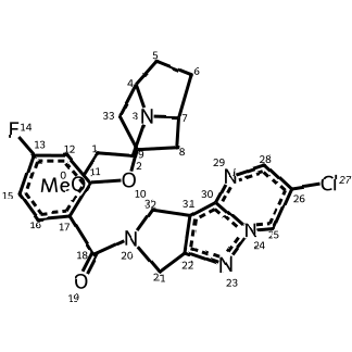 COCCN1C2CCC1CC(Oc1cc(F)ccc1C(=O)N1Cc3nn4cc(Cl)cnc4c3C1)C2